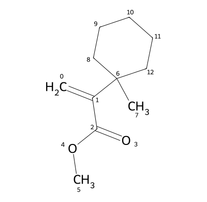 C=C(C(=O)OC)C1(C)CCCCC1